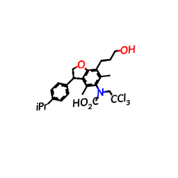 Cc1c(CCCO)c2c(c(C)c1N(CC(Cl)(Cl)Cl)C(=O)O)C(c1ccc(C(C)C)cc1)CO2